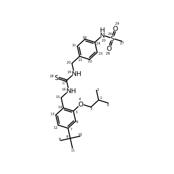 CC(C)COc1cc(C(C)(C)C)ccc1CNC(=S)NCc1ccc(NS(C)(=O)=O)cc1